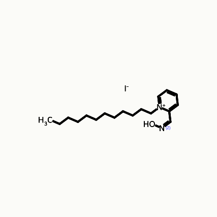 CCCCCCCCCCCC[n+]1ccccc1/C=N\O.[I-]